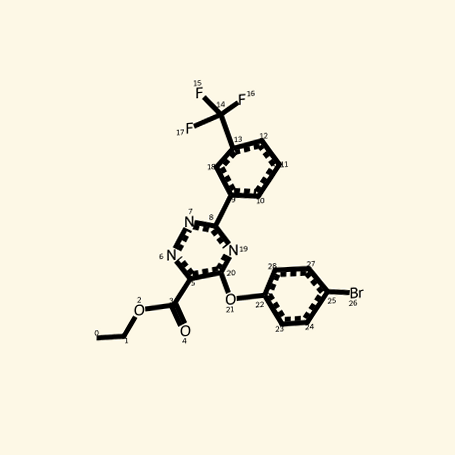 CCOC(=O)c1nnc(-c2cccc(C(F)(F)F)c2)nc1Oc1ccc(Br)cc1